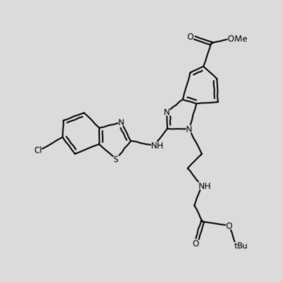 COC(=O)c1ccc2c(c1)nc(Nc1nc3ccc(Cl)cc3s1)n2CCNCC(=O)OC(C)(C)C